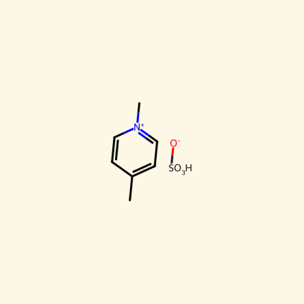 Cc1cc[n+](C)cc1.O=S(=O)([O-])O